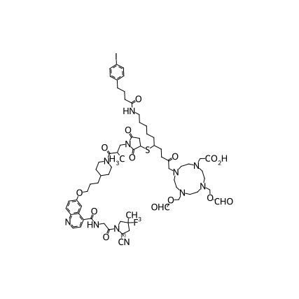 CC(CN1C(=O)CC(SC(CCCCCNC(=O)CCCc2ccc(I)cc2)CCC(=O)CN2CCN(COC=O)CCN(COC=O)CCN(CC(=O)O)CC2)C1=O)C(=O)N1CCC(CCCOc2ccc3nccc(C(=O)NCC(=O)N4CC(C)(F)C[C@@H]4C#N)c3c2)CC1